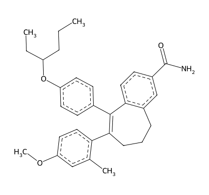 CCCC(CC)Oc1ccc(C2=C(c3ccc(OC)cc3C)CCCc3cc(C(N)=O)ccc32)cc1